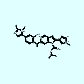 Cc1ncc(-c2ccc(Nc3cc4c(cn3)cc(-c3cnn(C)c3)n4C(=O)OC(C)C)c(F)c2)n1C